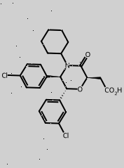 O=C(O)C[C@H]1O[C@H](c2cccc(Cl)c2)[C@@H](c2ccc(Cl)cc2)N(C2CCCCC2)C1=O